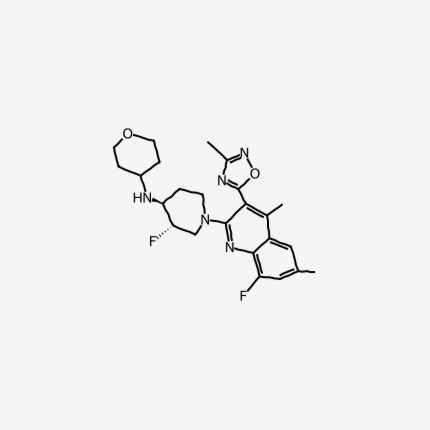 Cc1cc(F)c2nc(N3CC[C@H](NC4CCOCC4)[C@@H](F)C3)c(-c3nc(C)no3)c(C)c2c1